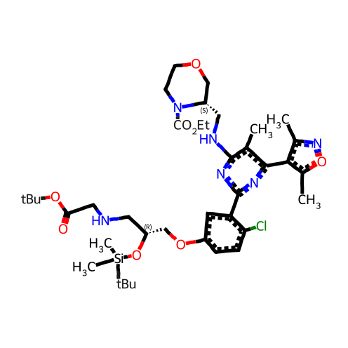 CCOC(=O)N1CCOC[C@@H]1CNc1nc(-c2cc(OC[C@@H](CNCC(=O)OC(C)(C)C)O[Si](C)(C)C(C)(C)C)ccc2Cl)nc(-c2c(C)noc2C)c1C